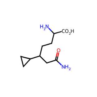 NC(=O)CC(CCC(N)C(=O)O)C1CC1